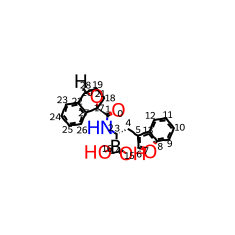 O=C(N[C@H](Cc1coc2ccccc12)B(O)O)[C@]12CC[C@H](O1)c1ccccc12